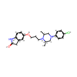 CC1CN(c2ccc(Cl)cc2)C[C@@H](C)N1CCCOc1ccc2c(c1)CC(=O)N2